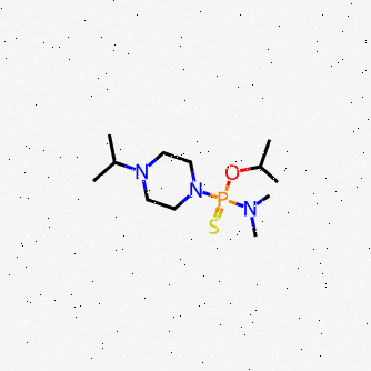 CC(C)OP(=S)(N(C)C)N1CCN(C(C)C)CC1